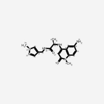 C[C@@H](Nc1cc(=O)n(C)c2ccc(N)cc12)C(=O)NCc1cnn(C)c1